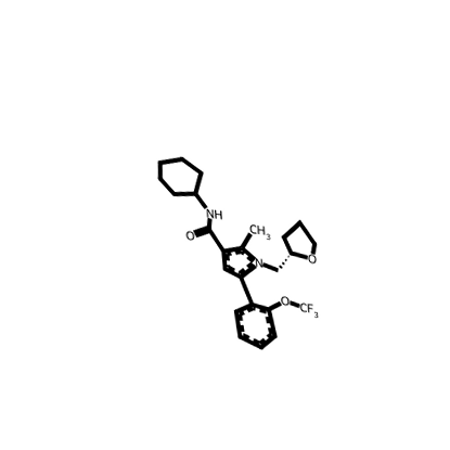 Cc1c(C(=O)NC2CCCCC2)cc(-c2ccccc2OC(F)(F)F)n1C[C@@H]1CCCO1